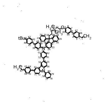 C=Cc1ccc(-c2ccc(OCCS(C)(C)CCCC3(c4ccccc4)c4ccccc4-c4ccc(N(c5ccc(-c6ccc(C(C)(C)C)cc6)cc5)c5ccc(-c6ccc7c(c6)c6cc(-c8ccc(C=C)cc8)ccc6n7-c6ccccc6)cc5)cc43)cc2)cc1